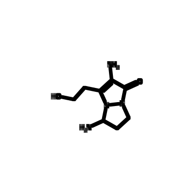 Nc1c(CCO)n2n(c1=O)CCC2N